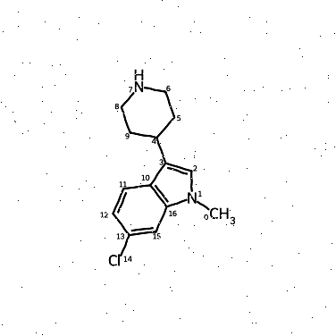 Cn1cc(C2CCNCC2)c2ccc(Cl)cc21